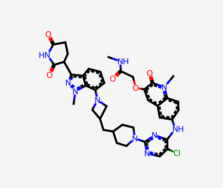 CNC(=O)COc1cc2cc(Nc3nc(N4CCC(CC5CN(c6cccc7c(C8CCC(=O)NC8=O)nn(C)c67)C5)CC4)ncc3Cl)ccc2n(C)c1=O